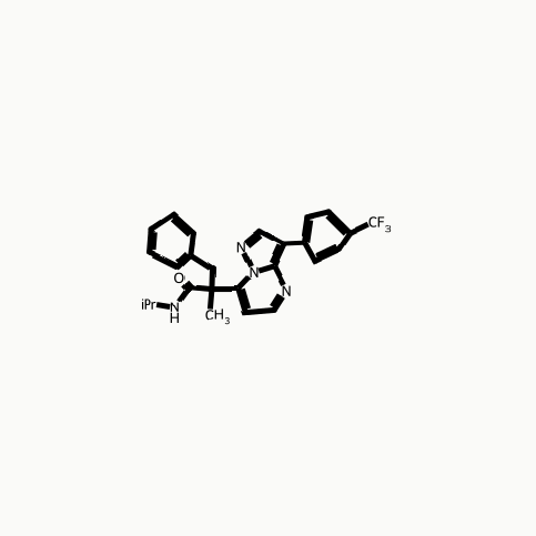 CC(C)NC(=O)C(C)(Cc1ccccc1)c1ccnc2c(-c3ccc(C(F)(F)F)cc3)cnn12